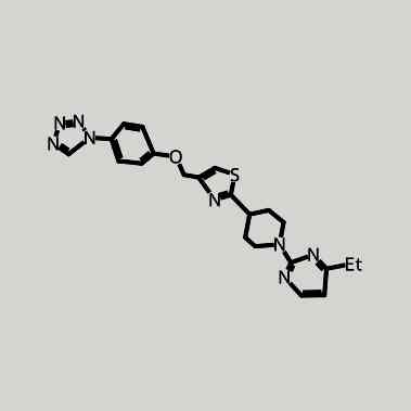 CCc1ccnc(N2CCC(c3nc(COc4ccc(-n5cnnn5)cc4)cs3)CC2)n1